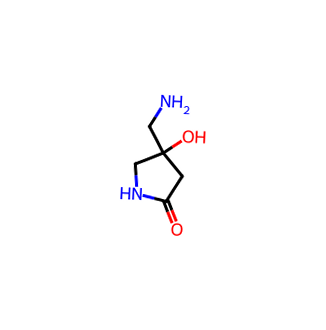 NCC1(O)CNC(=O)C1